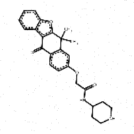 CC1(C)c2cc(OCC(=O)NC3CCNCC3)ccc2C(=O)c2c1oc1ccccc21